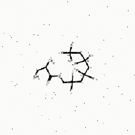 CCC(C)C(=O)OCC(F)(F)CC(F)(F)CC(F)(F)CC(F)(F)F